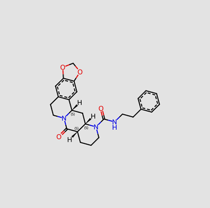 O=C1[C@H]2CCCN(C(=O)NCCc3ccccc3)[C@H]2C[C@H]2c3cc4c(cc3CCN12)OCO4